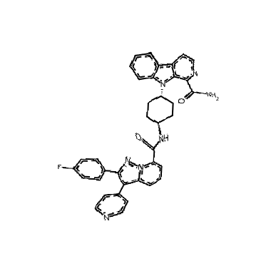 NC(=O)c1nccc2c3ccccc3n([C@H]3CC[C@H](NC(=O)c4cccc5c(-c6ccncc6)c(-c6ccc(F)cc6)nn45)CC3)c12